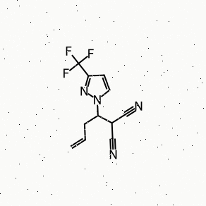 C=CCC(C(C#N)C#N)n1ccc(C(F)(F)F)n1